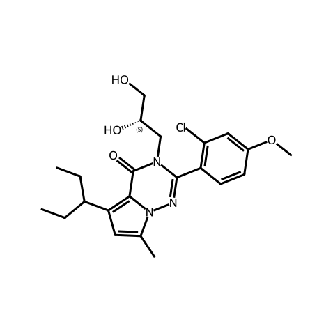 CCC(CC)c1cc(C)n2nc(-c3ccc(OC)cc3Cl)n(C[C@H](O)CO)c(=O)c12